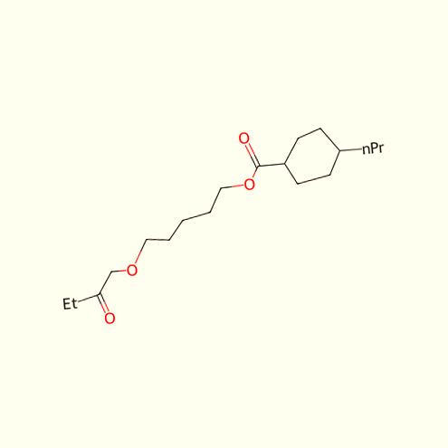 CCCC1CCC(C(=O)OCCCCCOCC(=O)CC)CC1